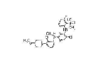 COc1c(Nc2ncc(Cl)c(Nc3cccc(F)c3P(C)(C)=O)n2)cccc1N1CCC(OC)CC1